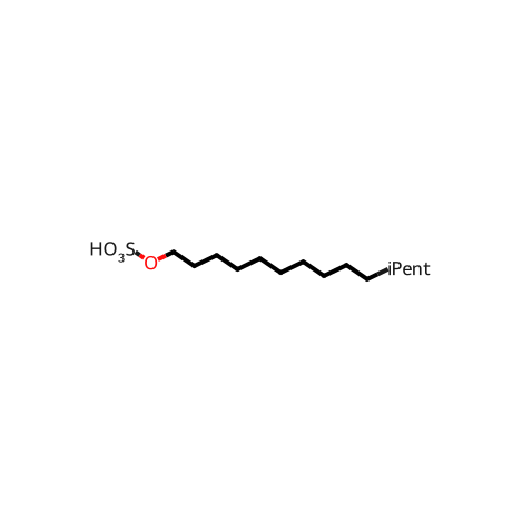 CCCC(C)CCCCCCCCCCOS(=O)(=O)O